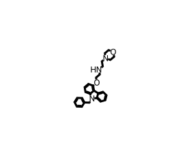 c1ccc(Cn2c3ccccc3c3c(OCCNCCN4CCOCC4)cccc32)cc1